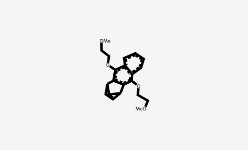 COCCOc1c2c(c(OCCOC)c3ccccc13)C1C=CC2C1